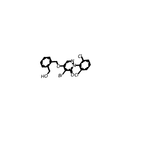 O=c1c(Br)c(OCc2ccccc2CO)cnn1-c1c(Cl)cccc1Cl